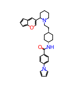 O=C(N[C@H]1CC[C@H](CCN2CCCCC2c2coc3cccc-3c2)CC1)c1ccc(-n2cccc2)cc1